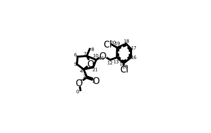 COC(=O)C12CCC(C)(O1)C(OCc1c(Cl)cccc1Cl)C2